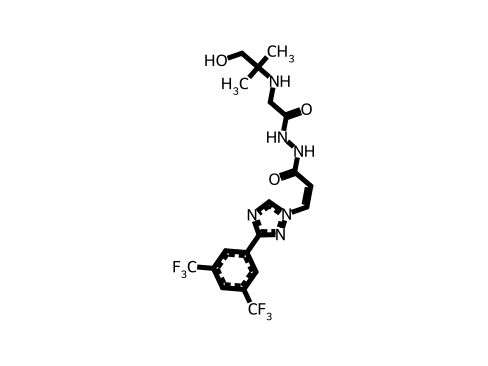 CC(C)(CO)NCC(=O)NNC(=O)/C=C\n1cnc(-c2cc(C(F)(F)F)cc(C(F)(F)F)c2)n1